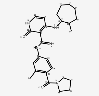 Cc1cc(NC(=N)c2c(N[C@H]3CCCCCC3C)cc[nH]c2=O)ccc1C(=O)N1CCCC1